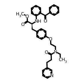 CCN(CCOc1ccc(C[C@H](Nc2ccccc2C(=O)c2ccccc2)C(=O)OC)cc1)C(=O)CCc1cccnc1